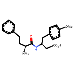 CN[C@@H](CCc1ccccc1)C(=O)N[C@H](CC(=O)O)Cc1ccc(OC)cc1